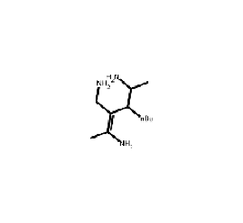 CCCCC(/C(CN)=C(/C)N)C(C)N